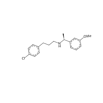 COc1cccc([C@H](C)NCCCc2ccc(Cl)cc2)c1